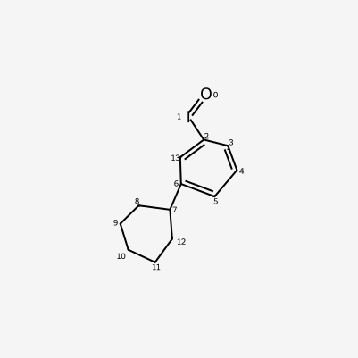 O=Ic1[c]ccc(C2CCCCC2)c1